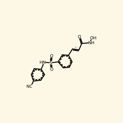 N#Cc1ccc(NS(=O)(=O)c2cccc(/C=C/C(=O)NO)c2)cc1